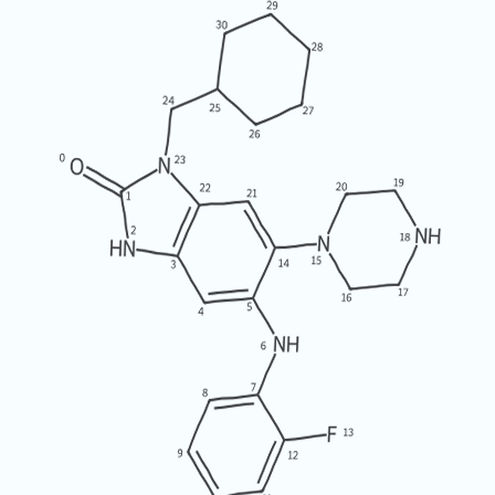 O=c1[nH]c2cc(Nc3ccccc3F)c(N3CCNCC3)cc2n1CC1CCCCC1